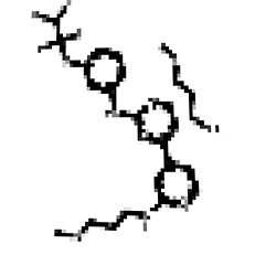 COCCCN.COCCCNc1cc(-c2ccnc(Nc3cccc(OC(F)(F)C(F)F)c3)n2)ccn1